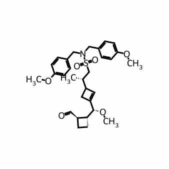 COc1ccc(CN(Cc2ccc(OC)cc2)S(=O)(=O)C[C@@H](C)C2C=C([C@H](OC)[C@@H]3CC[C@H]3C=O)C2)cc1